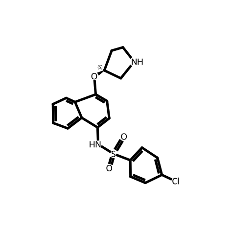 O=S(=O)(Nc1ccc(O[C@H]2CCNC2)c2ccccc12)c1ccc(Cl)cc1